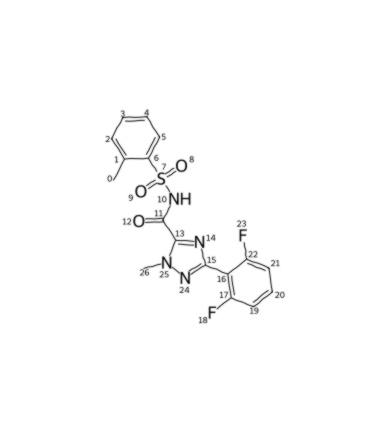 Cc1ccccc1S(=O)(=O)NC(=O)c1nc(-c2c(F)cccc2F)nn1C